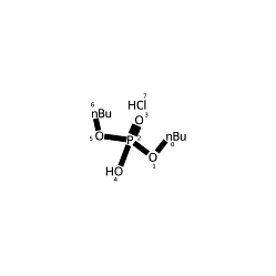 CCCCOP(=O)(O)OCCCC.Cl